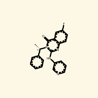 C[C@@H](c1ccccc1)n1c(Nc2cccnc2)nc2ccc(F)cc2c1=O